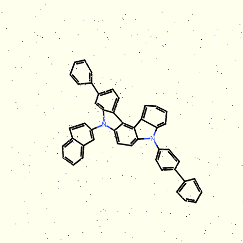 c1ccc(-c2ccc(-n3c4ccccc4c4c5c6ccc(-c7ccccc7)cc6n(-c6ccc7ccccc7c6)c5ccc43)cc2)cc1